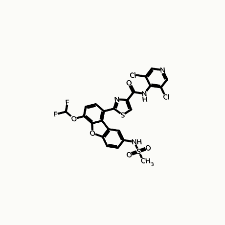 CS(=O)(=O)Nc1ccc2oc3c(OC(F)F)ccc(-c4nc(C(=O)Nc5c(Cl)cncc5Cl)cs4)c3c2c1